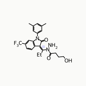 CC/C(=C1/C(=O)N(c2cc(C)cc(C)c2)c2cc(C(F)(F)F)ccc21)N(N)C(=O)CCCO